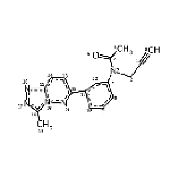 C#CCN(C(C)=O)c1cccc(-c2ccc3nnc(C)n3n2)c1